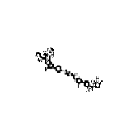 Cn1nc(N2CCC(=O)NC2=O)c2ccc(C3CCN(CC(=O)N4CC5(C4)CN(c4ccc(-c6cc(F)c7c(c6)C(=O)N(C(C(=O)Nc6nccs6)c6ncn8c6CCC8)C7)cc4)C5)CC3F)cc21